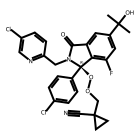 CC(C)(O)c1cc(F)c2c(c1)C(=O)N(Cc1ccc(Cl)cn1)[C@@]2(OOCC1(C#N)CC1)c1ccc(Cl)cc1